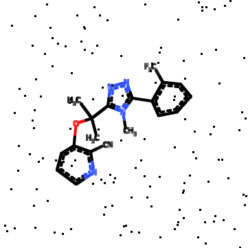 Cn1c(-c2ccccc2C(F)(F)F)nnc1C(C)(C)Oc1cccnc1C#N